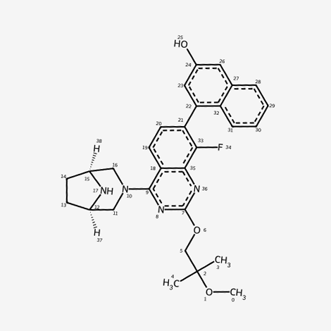 COC(C)(C)COc1nc(N2C[C@H]3CC[C@@H](C2)N3)c2ccc(-c3cc(O)cc4ccccc34)c(F)c2n1